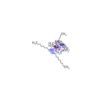 CCCCCCCCCNP(=NP(=O)(N=P(N(C)C)(N(C)C)N(C)C)N=P(N(C)C)(N(C)C)N(C)C)(NCCCCCCCCC)NCCCCCCCCC